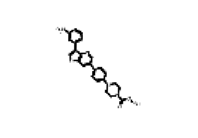 CC(C)(C)OC(=O)N1CCN(c2ccc(-c3cnc4c(-c5cccc([N+](=O)[O-])c5)coc4c3)cc2)CC1